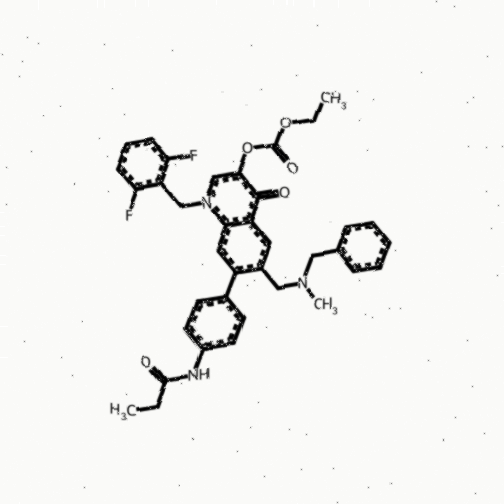 CCOC(=O)Oc1cn(Cc2c(F)cccc2F)c2cc(-c3ccc(NC(=O)CC)cc3)c(CN(C)Cc3ccccc3)cc2c1=O